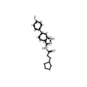 O=C(CCC1CCCC1)Nc1n[nH]c2cc(-c3ccc(F)cc3)ccc12